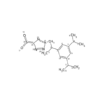 CC(C)c1cc(C(C)C)cc(C(C)C)c1.O=S(=O)=C1N=NN=N1